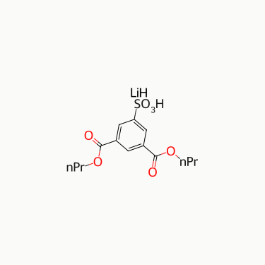 CCCOC(=O)c1cc(C(=O)OCCC)cc(S(=O)(=O)O)c1.[LiH]